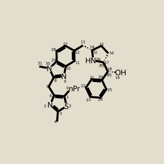 CCCc1sc(C)nc1Cc1nc2cc(C[C@@H]3CC[C@H]([C@H](O)c4ccccc4)N3)ccc2n1C